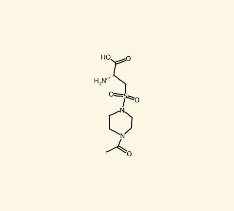 CC(=O)N1CCN(S(=O)(=O)C[C@H](N)C(=O)O)CC1